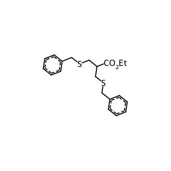 CCOC(=O)C(CSCc1ccccc1)CSCc1ccccc1